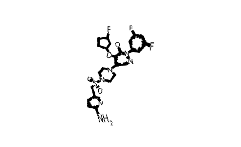 Nc1ccc(CS(=O)(=O)N2CCN(c3cnn(-c4cc(F)cc(F)c4)c(=O)c3OC3CCC(F)C3)CC2)cn1